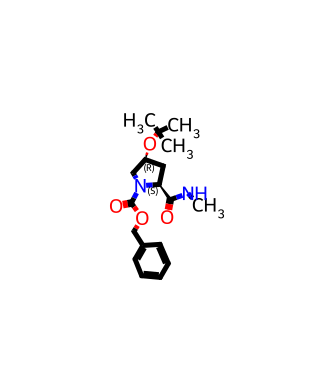 CNC(=O)[C@@H]1C[C@@H](OC(C)(C)C)CN1C(=O)OCc1ccccc1